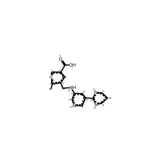 Cc1ccc(C(=O)O)cc1CNc1cncc(-c2ncccn2)c1